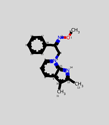 CO/N=C(\Cn1cccc2c(C)c(C)nc1-2)c1ccccc1